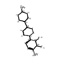 CCCC1=CC=C(C2CCC(C3CCC(CCC)CC3)CC2)C(F)C1F